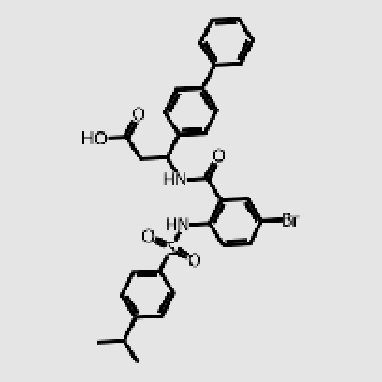 CC(C)c1ccc(S(=O)(=O)Nc2ccc(Br)cc2C(=O)NC(CC(=O)O)c2ccc(-c3ccccc3)cc2)cc1